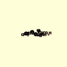 O=C(O)c1nc2c(nc(CN3CCC(c4cccc(OCc5ccc(Cl)cc5F)n4)CC3)n2CC2CCO2)[nH]1